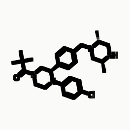 C[C@@H]1CN[C@@H](C)CN1Cc1ccc([C@@H]2CN(C(=O)C(C)(C)C)CCN2c2ccc(Cl)cc2)cc1